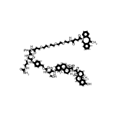 C=C1Cc2ccccc2N(C(=O)CCC(=O)NCCOCCOCCOCCOCCC(=O)N[C@H](C(=O)N[C@@H](CCCNC(N)=O)C(=O)Nc2ccc(COC(=O)N[C@@H](CO)C(=O)Nc3ccc4c(c3)[C@@]3(C)CCC[C@](C)(C(=O)NC(=O)[C@@]5(C)CCC[C@]6(C)c7cc(O)ccc7CC[C@@H]56)[C@@H]3CC4)cc2)C(C)C)Cc2ccccc21